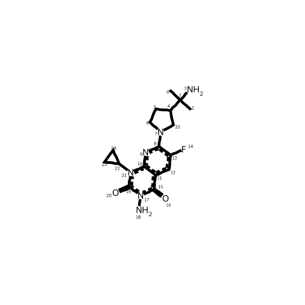 CC(C)(N)C1CCN(c2nc3c(cc2F)c(=O)n(N)c(=O)n3C2CC2)C1